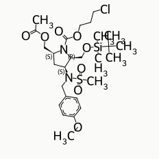 COc1ccc(CN([C@H]2C[C@@H](COC(C)=O)N(C(=O)OCCCCl)[C@H]2CO[Si](C)(C)C(C)(C)C)S(C)(=O)=O)cc1